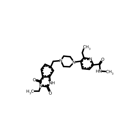 CCc1nc(C(=O)NC)ccc1N1CCN(Cc2ccc3c(=O)n(CC)c(=O)[nH]c3c2)CC1